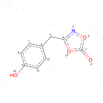 O=c1onc(Cc2ccc(O)cc2)o1